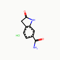 Cl.NC(=O)c1ccc2c(c1)NC(=O)C2